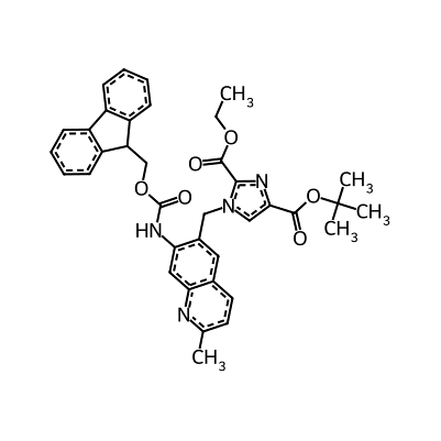 CCOC(=O)c1nc(C(=O)OC(C)(C)C)cn1Cc1cc2ccc(C)nc2cc1NC(=O)OCC1c2ccccc2-c2ccccc21